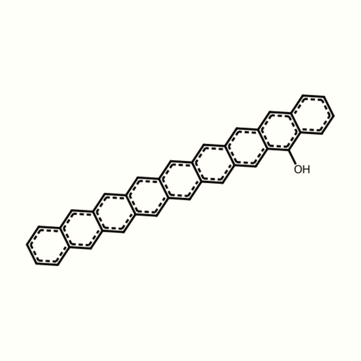 Oc1c2ccccc2cc2cc3cc4cc5cc6cc7cc8ccccc8cc7cc6cc5cc4cc3cc12